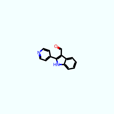 O=Cc1c(-c2ccncc2)[nH]c2ccccc12